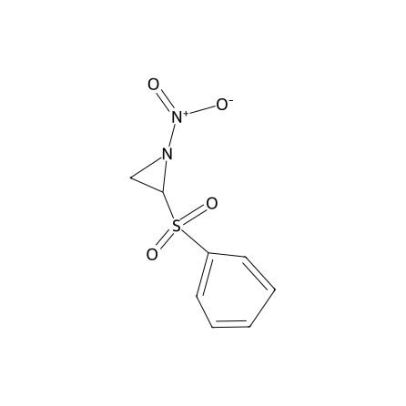 O=[N+]([O-])N1CC1S(=O)(=O)c1ccccc1